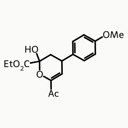 CCOC(=O)C1(O)CC(c2ccc(OC)cc2)C=C(C(C)=O)O1